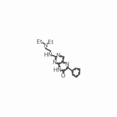 CCN(CC)CCNc1ncc2nc(-c3ccccc3)c(=O)[nH]c2n1